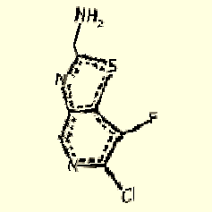 Nc1nc2cnc(Cl)c(F)c2s1